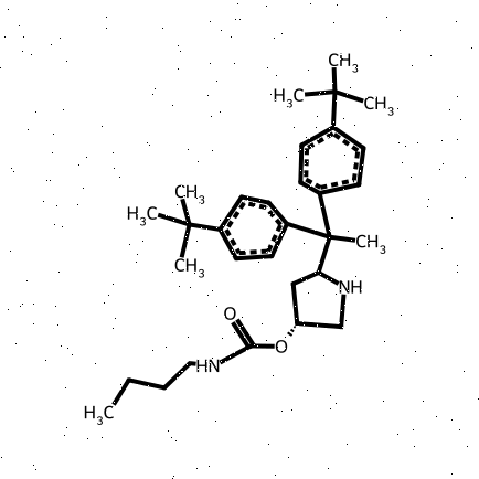 CCCCNC(=O)O[C@H]1CNC(C(C)(c2ccc(C(C)(C)C)cc2)c2ccc(C(C)(C)C)cc2)C1